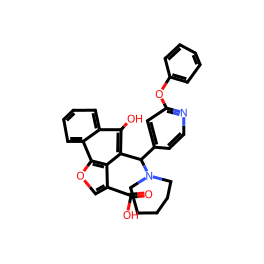 O=C(O)c1coc2c1c(C(c1ccnc(Oc3ccccc3)c1)N1CCCCC1)c(O)c1ccccc12